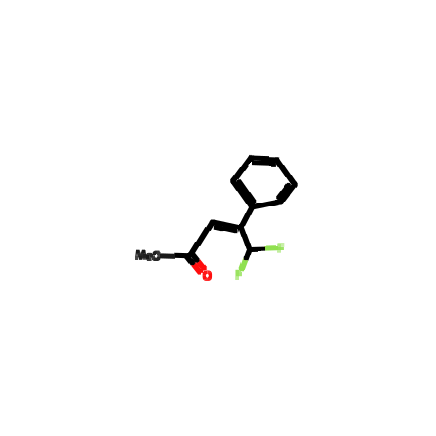 COC(=O)C=C(c1ccccc1)C(F)F